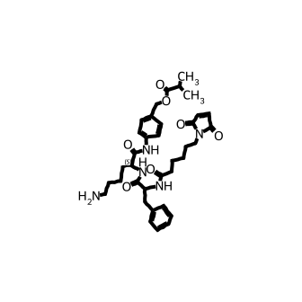 CC(C)C(=O)OCc1ccc(NC(=O)[C@H](CCCCN)NC(=O)C(Cc2ccccc2)NC(=O)CCCCCN2C(=O)C=CC2=O)cc1